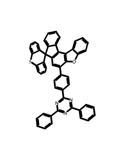 c1ccc(-c2nc(-c3ccccc3)nc(-c3ccc(-c4cc5c(c6c4oc4ccccc46)-c4ccccc4C54c5ccccc5Sc5ccccc54)cc3)n2)cc1